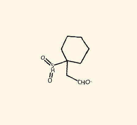 O=[C]CC1([SH](=O)=O)CCCCC1